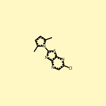 Cc1ccc(C)n1-c1nc2ncc(Cl)nc2s1